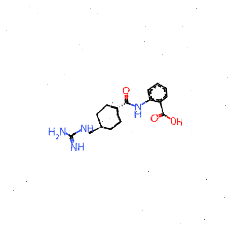 N=C(N)NC[C@H]1CC[C@H](C(=O)Nc2ccccc2C(=O)O)CC1